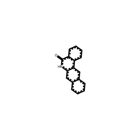 O=c1[nH]c2cc3ccccc3cc2c2ccccc12